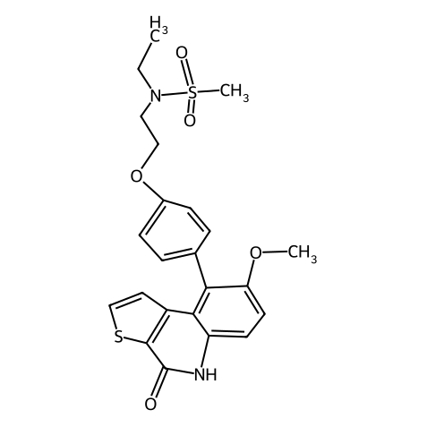 CCN(CCOc1ccc(-c2c(OC)ccc3[nH]c(=O)c4sccc4c23)cc1)S(C)(=O)=O